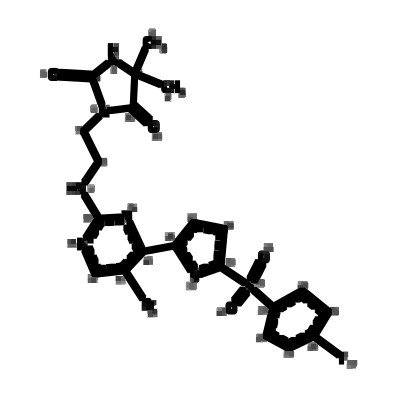 CC1(C)NC(=O)N(CCNc2ncc(Br)c(-c3ccc(S(=O)(=O)c4ccc(F)cc4)s3)n2)C1=O